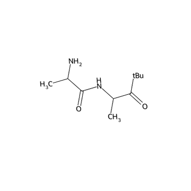 CC(N)C(=O)NC(C)C(=O)C(C)(C)C